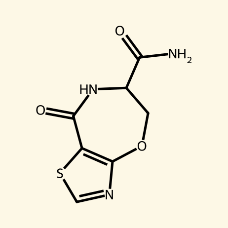 NC(=O)C1COc2ncsc2C(=O)N1